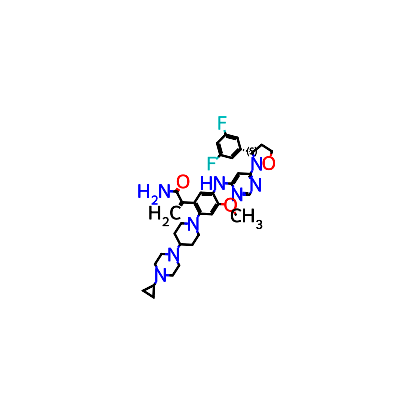 C=C(C(N)=O)c1cc(Nc2cc(N3OCC[C@H]3c3cc(F)cc(F)c3)ncn2)c(OC)cc1N1CCC(N2CCN(C3CC3)CC2)CC1